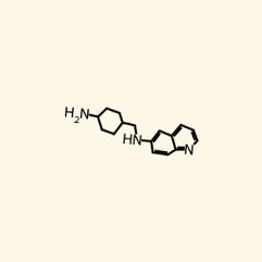 NC1CCC(CNc2ccc3ncccc3c2)CC1